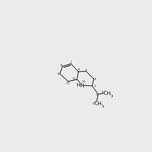 CC(C)C1CCC2C=CCCC2N1